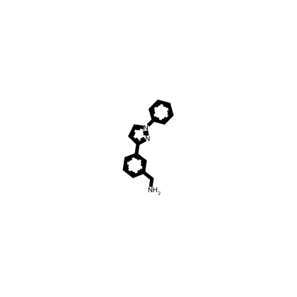 NCc1cccc(-c2ccn(-c3ccccc3)n2)c1